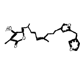 CC(=CCCC(C)C=C1OC(=O)C(C)=C1O)CCCc1coc(Cc2ccoc2)c1